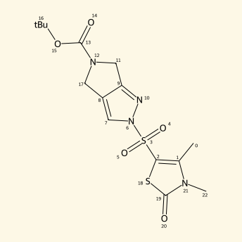 Cc1c(S(=O)(=O)n2cc3c(n2)CN(C(=O)OC(C)(C)C)C3)sc(=O)n1C